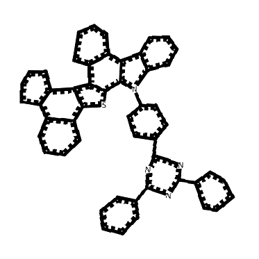 c1ccc(-c2nc(-c3ccccc3)nc(-c3ccc(-n4c5ccccc5c5c6ccccc6c6c(sc7c8ccccc8c8ccccc8c76)c54)cc3)n2)cc1